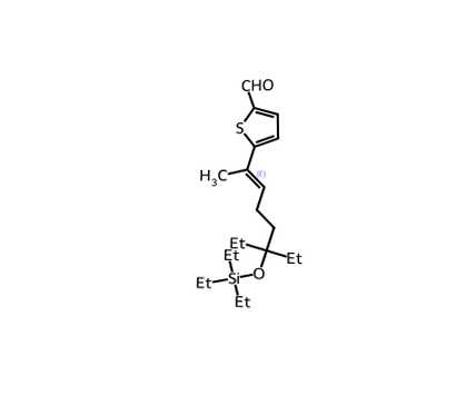 CCC(CC)(CC/C=C(\C)c1ccc(C=O)s1)O[Si](CC)(CC)CC